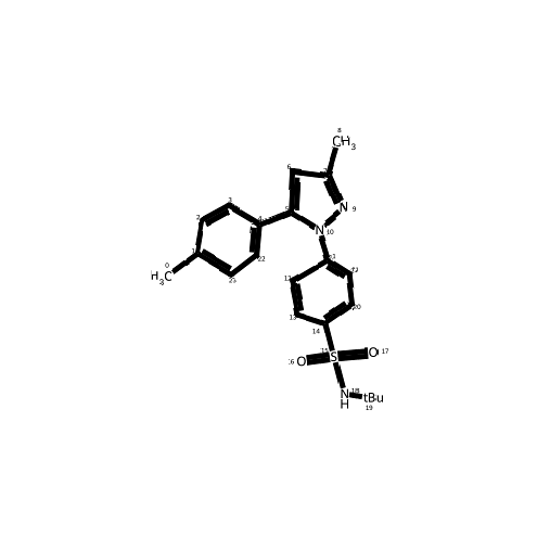 Cc1ccc(-c2cc(C)nn2-c2ccc(S(=O)(=O)NC(C)(C)C)cc2)cc1